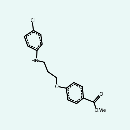 COC(=O)c1ccc(OCCCNc2ccc(Cl)cc2)cc1